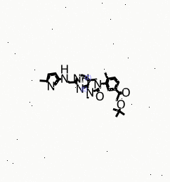 C/C=C1/CN(c2cc(C(=O)COC(C)(C)C)ccc2C)C(=O)N(C)/C1=N/C(=N)CNc1ccc(C)nc1